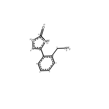 NCc1ccccc1-c1noc(=O)[nH]1